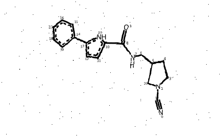 N#CN1CCC(CNC(=O)c2ccc(-c3ccccc3)[nH]2)C1